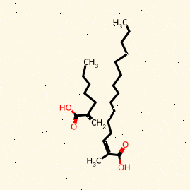 C=C(CCCCC)C(=O)O.CCCCCCCCCCCCC=C(C)C(=O)O